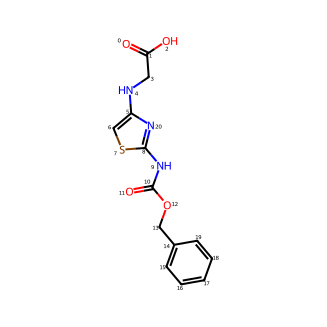 O=C(O)CNc1csc(NC(=O)OCc2ccccc2)n1